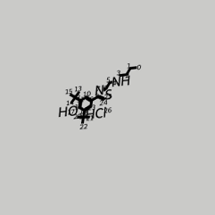 CCCCNCc1nc(-c2cc(C(C)(C)C)c(O)c(C(C)(C)C)c2)cs1.Cl